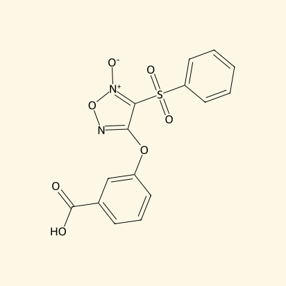 O=C(O)c1cccc(Oc2no[n+]([O-])c2S(=O)(=O)c2ccccc2)c1